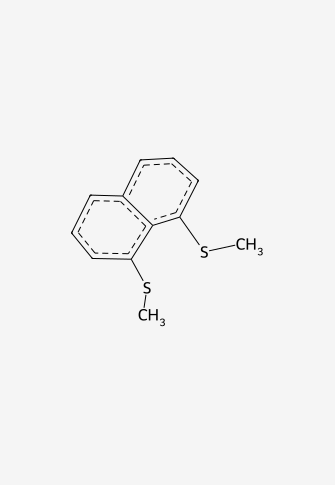 CSc1cccc2cccc(SC)c12